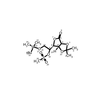 CC1(C)OC2C(=O)O[C@H](C(CO[Si](C)(C)C(C)(C)C)OS(C)(=O)=O)[C@H]2O1